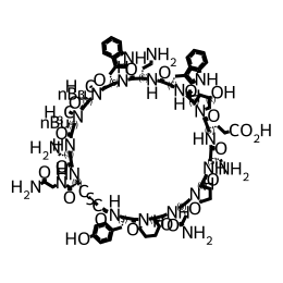 CCCC[C@H]1C(=O)N(C)[C@@H](CCCC)C(=O)N[C@@H](CN)C(=O)N[C@H](C(=O)NCC(N)=O)CSCC(=O)N[C@@H](Cc2ccc(O)cc2)C(=O)N2CCCC[C@H]2C(=O)N[C@@H](CC(N)=O)C(=O)N2CCC[C@H]2C(=O)N[C@@H](CN)C(=O)N[C@@H](CCC(=O)O)C(=O)N2C[C@H](O)C[C@H]2C(=O)N[C@@H](Cc2c[nH]c3ccccc23)C(=O)N[C@@H](CCN)C(=O)N[C@@H](Cc2c[nH]c3ccccc23)C(=O)N1C